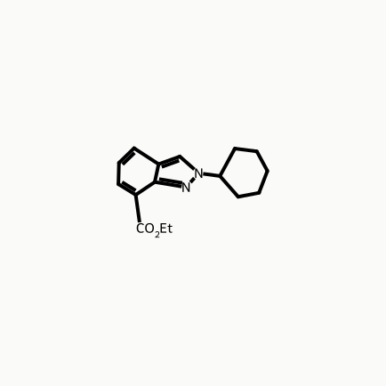 CCOC(=O)c1cccc2cn(C3CCCCC3)nc12